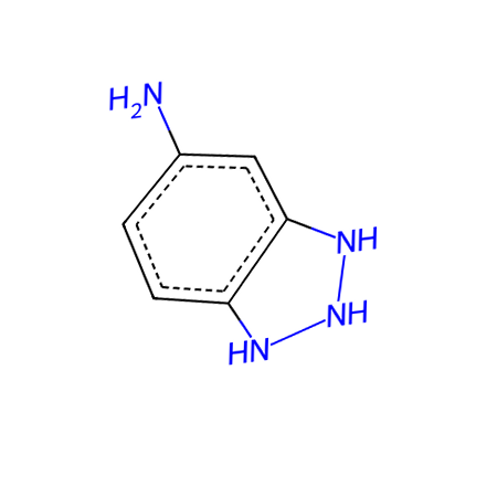 Nc1ccc2c(c1)NNN2